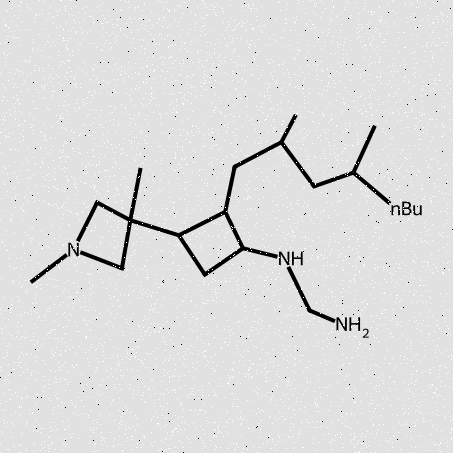 CCCCC(C)CC(C)CC1C(NCN)CC1C1(C)CN(C)C1